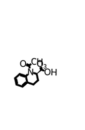 CC(=O)N1c2ccccc2CC[C@@H]1C(=O)O